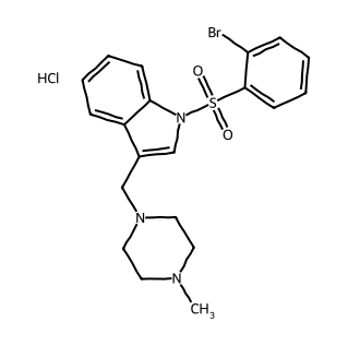 CN1CCN(Cc2cn(S(=O)(=O)c3ccccc3Br)c3ccccc23)CC1.Cl